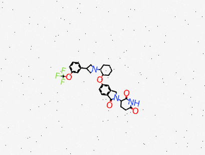 O=C1CCC(N2Cc3cc(OC4CCCCC4N4CC(c5cccc(OC(F)(F)F)c5)C4)ccc3C2=O)C(=O)N1